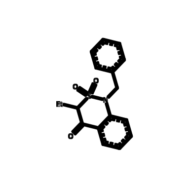 CCC1C(=O)c2ccccc2N(Cc2ccccc2)S1(=O)=O